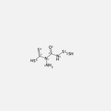 NN(C(=O)NSS)C(=S)S